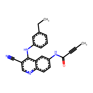 CC#CC(=O)Nc1ccc2ncc(C#N)c(Nc3cccc(CC)c3)c2c1